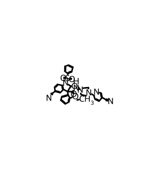 CCOc1ccccc1C1(C(=O)NN2CCN(c3ccc(C#N)cn3)CC2)C(=O)N(S(=O)(=O)c2ccccc2)c2ccc(C#N)cc21